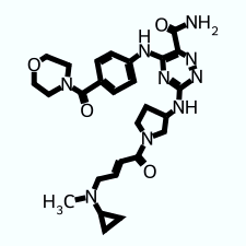 CN(C/C=C/C(=O)N1CCC(Nc2nnc(C(N)=O)c(Nc3ccc(C(=O)N4CCOCC4)cc3)n2)C1)C1CC1